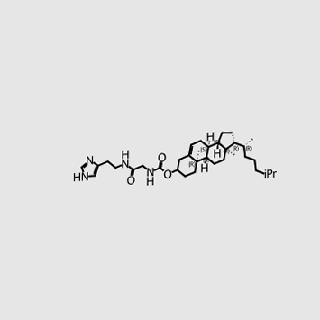 CC(C)CCC[C@@H](C)[C@H]1CC[C@H]2[C@@H]3CC=C4CC(OC(=O)NCC(=O)NCCc5c[nH]cn5)CC[C@]4(C)[C@H]3CC[C@]12C